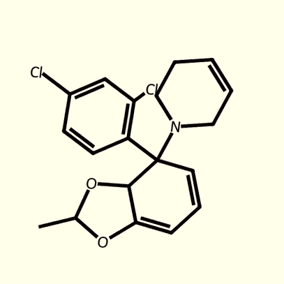 CC1OC2=CC=CC(c3ccc(Cl)cc3Cl)(N3CC=CCC3)C2O1